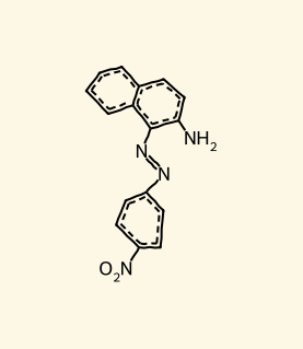 Nc1ccc2ccccc2c1/N=N/c1ccc([N+](=O)[O-])cc1